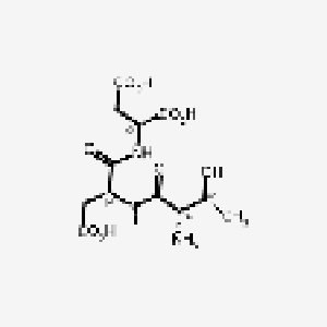 C[C@@H](O)[C@H](N)C(=O)N[C@@H](CC(=O)O)C(=O)N[C@@H](CC(=O)O)C(=O)O